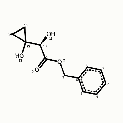 O=C(OCc1ccccc1)[C@H](O)C1(O)CC1